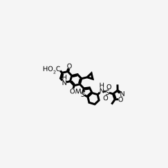 COc1c(-c2cc3c(s2)CCCC3NS(=O)(=O)c2c(C)noc2C)c(C2CC2)cc2c(=O)c(C(=O)O)c[nH]c12